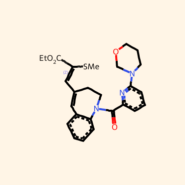 CCOC(=O)/C(=C/C1=Cc2ccccc2N(C(=O)c2cccc(N3CCCOC3)n2)CC1)SC